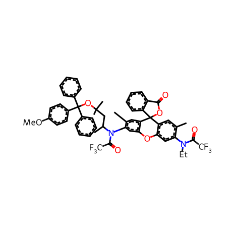 CCN(C(=O)C(F)(F)F)c1cc2c(cc1C)C1(OC(=O)c3ccccc31)c1cc(C)c(N(C(=O)C(F)(F)F)C(C)CC(C)(C)OC(c3ccccc3)(c3ccccc3)c3ccc(OC)cc3)cc1O2